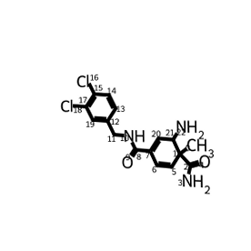 CC1(C(N)=O)C=CC(C(=O)NCc2ccc(Cl)c(Cl)c2)=CC1N